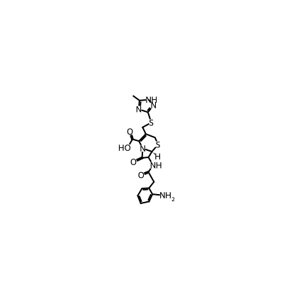 Cc1nc(SCC2=C(C(=O)O)N3C(=O)C(NC(=O)Cc4ccccc4N)[C@@H]3SC2)n[nH]1